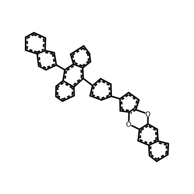 c1ccc2cc(-c3c4ccccc4c(-c4ccc(-c5ccc6c(c5)Oc5cc7ccccc7cc5O6)cc4)c4ccccc34)ccc2c1